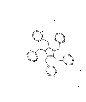 c1ccc(CC2=C(Cc3ccccc3)C(Cc3ccccc3)C(Cc3ccccc3)=C2Cc2ccccc2)cc1